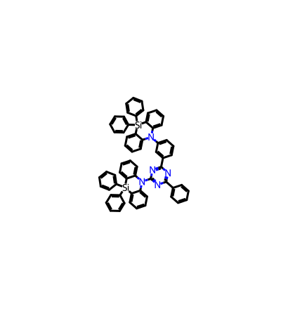 c1ccc(-c2nc(-c3cccc(N4c5ccccc5[Si](c5ccccc5)(c5ccccc5)c5ccccc54)c3)nc(N3c4ccccc4[Si](c4ccccc4)(c4ccccc4)c4ccccc43)n2)cc1